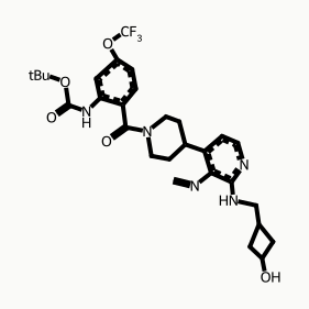 C=Nc1c(C2CCN(C(=O)c3ccc(OC(F)(F)F)cc3NC(=O)OC(C)(C)C)CC2)ccnc1NCC1CC(O)C1